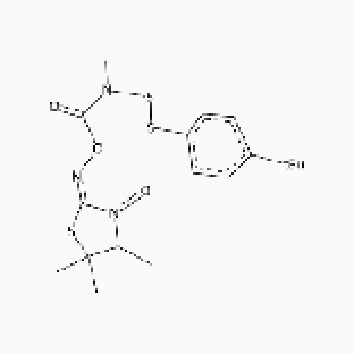 CC1[N+](=O)C(=NOC(=O)N(C)SSc2ccc(C(C)(C)C)cc2)SC1(C)C